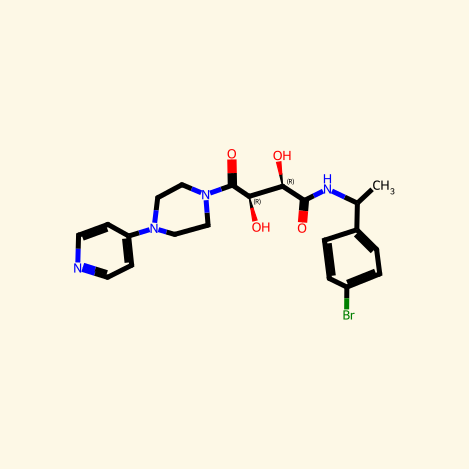 CC(NC(=O)[C@H](O)[C@@H](O)C(=O)N1CCN(c2ccncc2)CC1)c1ccc(Br)cc1